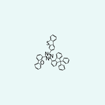 c1ccc(C2(c3ccccc3)c3ccccc3-c3c(-c4nc(-c5ccc6c(c5)sc5ccccc56)nc(-c5cccc6c5oc5ccccc56)n4)cccc32)cc1